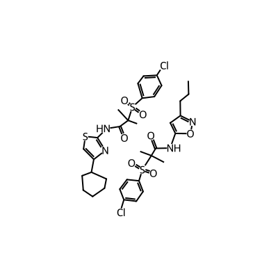 CC(C)(C(=O)Nc1nc(C2CCCCC2)cs1)S(=O)(=O)c1ccc(Cl)cc1.CCCc1cc(NC(=O)C(C)(C)S(=O)(=O)c2ccc(Cl)cc2)on1